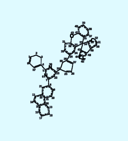 C1=CCCC(c2nc(-c3ccc4c(ccc5ccccc54)c3)cc(C3C=CC=C(c4ccc5c(c4)C4(c6ccccc6O5)c5ccccc5-c5ccccc54)C3)n2)=C1